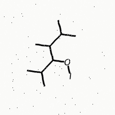 CC(C)C(C)C(OI)C(C)C